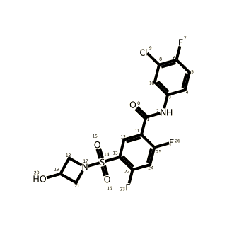 O=C(Nc1ccc(F)c(Cl)c1)c1cc(S(=O)(=O)N2CC(O)C2)c(F)cc1F